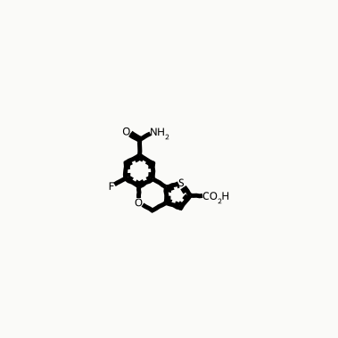 NC(=O)c1cc(F)c2c(c1)-c1sc(C(=O)O)cc1CO2